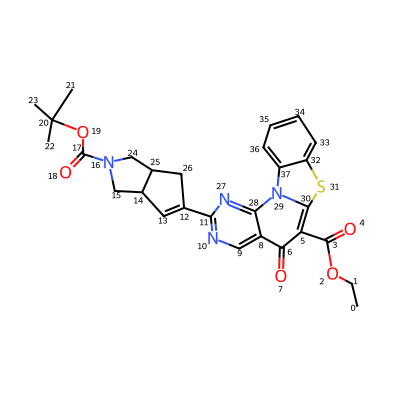 CCOC(=O)c1c(=O)c2cnc(C3=CC4CN(C(=O)OC(C)(C)C)CC4C3)nc2n2c1sc1ccccc12